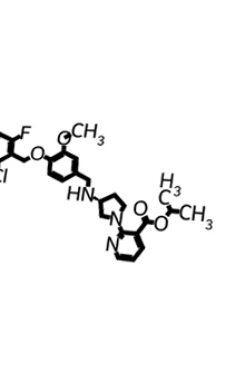 COc1cc(CN[C@H]2CCN(c3ncccc3C(=O)OC(C)C)C2)ccc1OCc1c(F)cccc1Cl